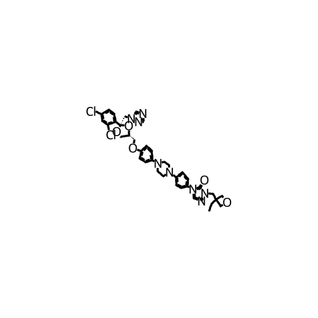 CCC1(Cn2ncn(-c3ccc(N4CCN(c5ccc(OC[C@@H]6CO[C@@](Cn7cncn7)(c7ccc(Cl)cc7Cl)O6)cc5)CC4)cc3)c2=O)COC1